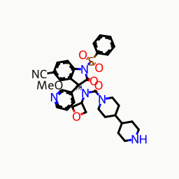 COc1ncccc1[C@]1(N(C(=O)N2CCC(C3CCNCC3)CC2)C2COC2)C(=O)N(S(=O)(=O)c2ccccc2)c2ccc(C#N)cc21